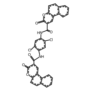 O=C(Nc1cc(Cl)c(NC(=O)c2cc3c(ccc4ccccc43)oc2=O)cc1Cl)c1cc2c(ccc3ccccc32)oc1=O